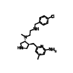 Cc1cc(N)nc(C[C@H]2CNC[C@@H]2N(C)CCNCc2ccc(Cl)cc2)c1